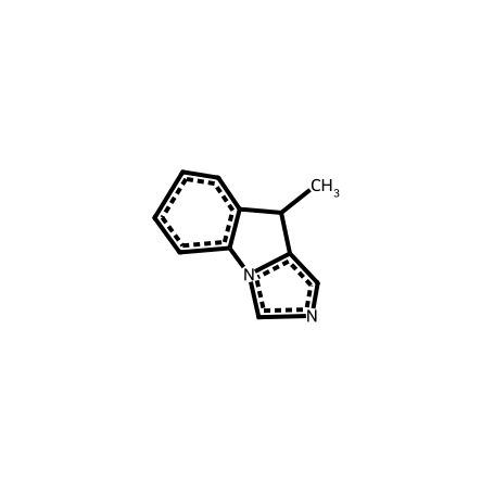 CC1c2ccccc2-n2cncc21